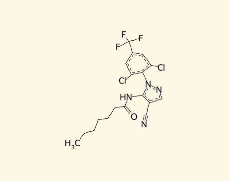 CCCCCCC(=O)Nc1c(C#N)cnn1-c1c(Cl)cc(C(F)(F)F)cc1Cl